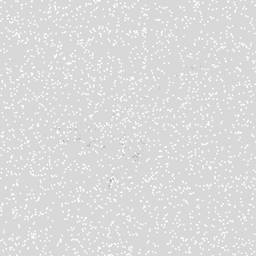 COc1ccc(OCCOCCOCCOCCOCCOCCO)c(C(=O)c2ccc(C(=O)N[C@@H]3CNC[C@H]3NC(=O)c3ccc4cn[nH]c4c3)cc2)c1OC